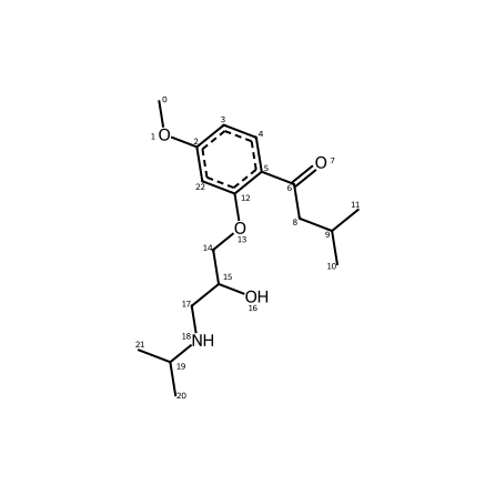 COc1ccc(C(=O)CC(C)C)c(OCC(O)CNC(C)C)c1